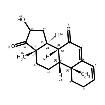 C[C@]12CCC=CC1=CC(=O)[C@@H]1[C@H]2CC[C@]2(C)C(=O)C(O)C[C@@H]12